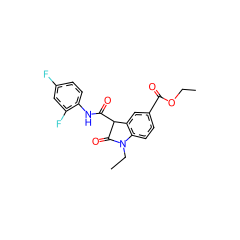 CCOC(=O)c1ccc2c(c1)C(C(=O)Nc1ccc(F)cc1F)C(=O)N2CC